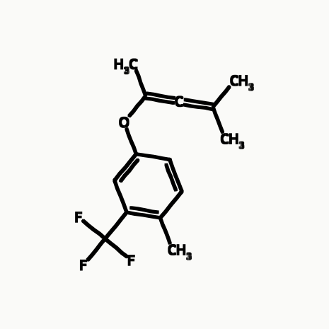 CC(C)=C=C(C)Oc1ccc(C)c(C(F)(F)F)c1